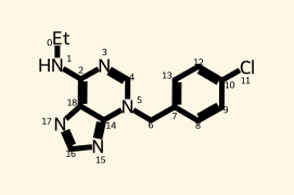 CCNc1ncn(Cc2ccc(Cl)cc2)c2ncnc1-2